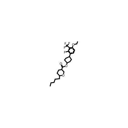 CCCCCC1CCC(C(=O)OC2CCC(c3ccc(OCC)c(C(F)(F)F)c3F)CC2)CO1